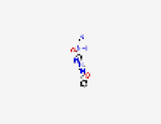 Cc1ccc(CC(=O)N2CCN(c3ccc(C(=O)NCCCN(C)C)cn3)CC2)cc1